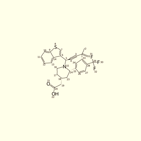 C=C(C)C#C[C@H](c1csc2ccccc12)N1CC[C@@H](CC(=O)O)C[C@H]1c1ccc(C(F)(F)F)cc1